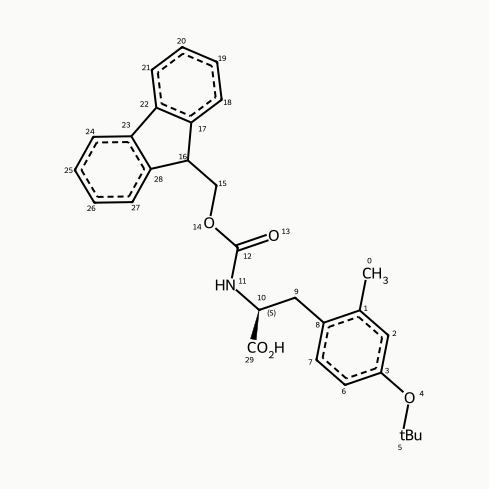 Cc1cc(OC(C)(C)C)ccc1C[C@H](NC(=O)OCC1c2ccccc2-c2ccccc21)C(=O)O